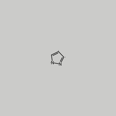 [C]1=C[N]N=[C]1